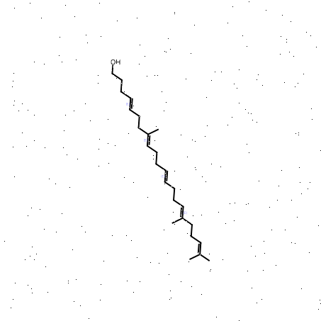 CC(C)=CCC/C(C)=C/CC/C=C/CC/C=C(\C)CC/C=C/CCCO